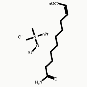 CCCCCCCC/C=C\CCCCCCCC(N)=O.CCC[N+](C)(C)OCC.[Cl-]